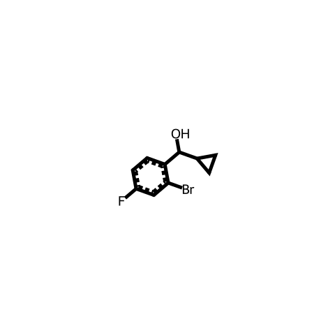 OC(c1ccc(F)cc1Br)C1CC1